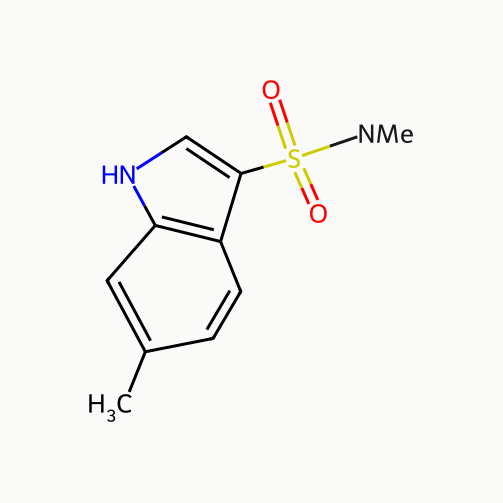 CNS(=O)(=O)c1c[nH]c2cc(C)ccc12